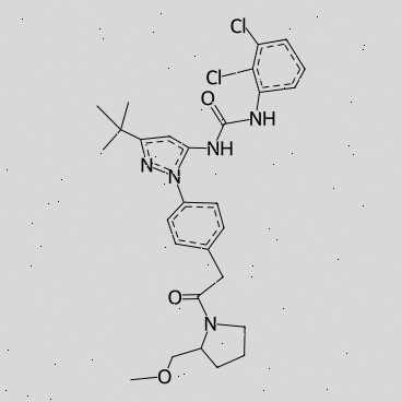 COCC1CCCN1C(=O)Cc1ccc(-n2nc(C(C)(C)C)cc2NC(=O)Nc2cccc(Cl)c2Cl)cc1